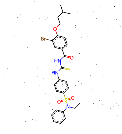 CCN(c1ccccc1)S(=O)(=O)c1ccc(NC(=S)NC(=O)c2ccc(OCCC(C)C)c(Br)c2)cc1